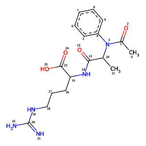 CC(=O)N(c1ccccc1)C(C)C(=O)NC(CCCNC(=N)N)C(=O)O